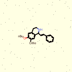 CCCCOc1cc2c(cc1OC)C(/C=C/c1ccccc1)NCC2